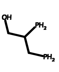 OCC(P)CP